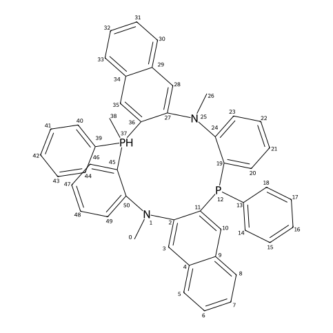 CN1c2cc3ccccc3cc2P(c2ccccc2)c2ccccc2N(C)c2cc3ccccc3cc2[PH](C)(c2ccccc2)c2ccccc21